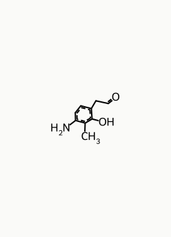 Cc1c(N)ccc(CC=O)c1O